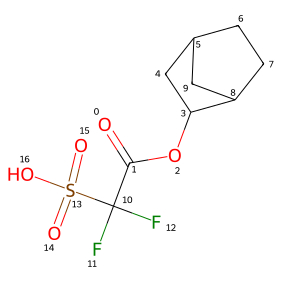 O=C(OC1CC2CCC1C2)C(F)(F)S(=O)(=O)O